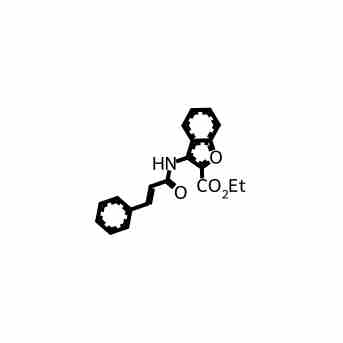 CCOC(=O)c1oc2ccccc2c1NC(=O)/C=C/c1ccccc1